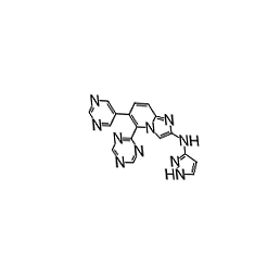 c1ncc(-c2ccc3nc(Nc4cc[nH]n4)cn3c2-c2ncncn2)cn1